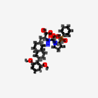 COc1cccc(OC)c1-c1ccc2cc(CC(NC(=O)N3CCC[C@@H]3S(=O)(=O)c3ccccc3)C(=O)O)ccc2c1